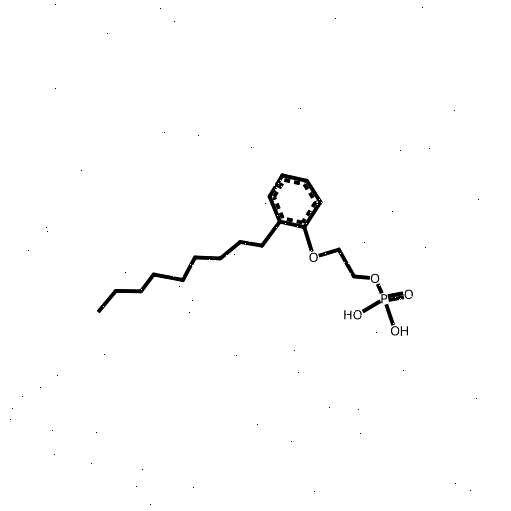 CCCCCCCCCc1ccccc1OCCOP(=O)(O)O